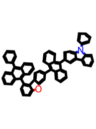 c1ccc(-c2c3ccccc3c(-c3cccc4oc5cc(-c6c7ccccc7c(-c7ccc8c(c7)c7ccccc7n8-c7ccccc7)c7ccccc67)ccc5c34)c3ccccc23)cc1